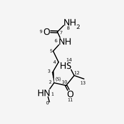 CN[C@@H](CCCNC(N)=O)C(=O)C(C)S